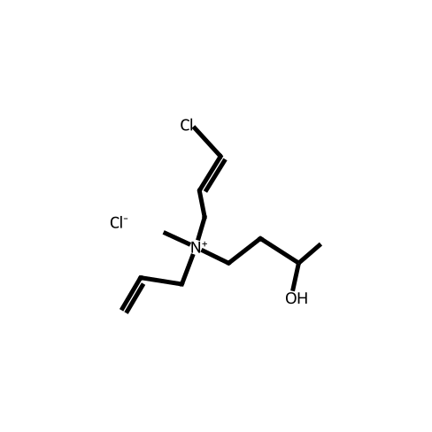 C=CC[N+](C)(CC=CCl)CCC(C)O.[Cl-]